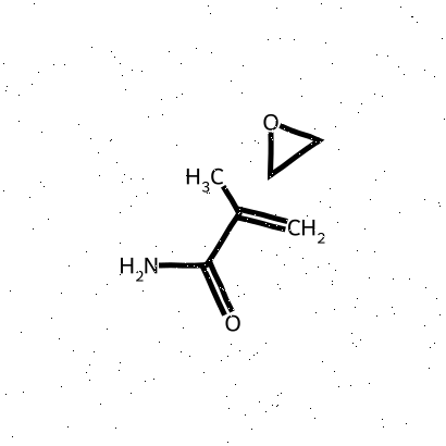 C1CO1.C=C(C)C(N)=O